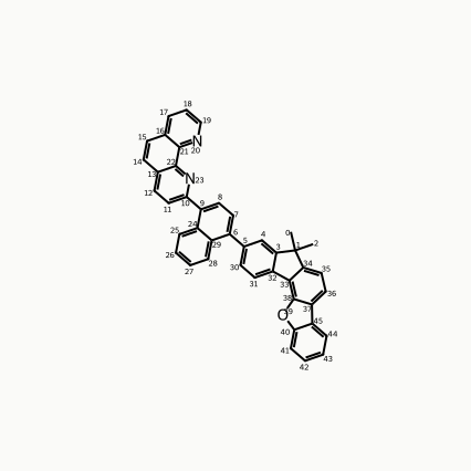 CC1(C)c2cc(-c3ccc(-c4ccc5ccc6cccnc6c5n4)c4ccccc34)ccc2-c2c1ccc1c2oc2ccccc21